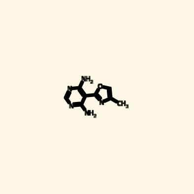 Cc1coc(-c2c(N)ncnc2N)n1